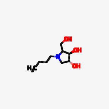 CCCCN1C[C@@H](O)[C@H](O)C1CO